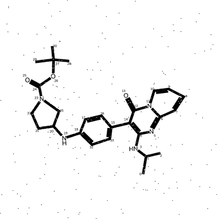 CC(C)Nc1nc2ccccn2c(=O)c1-c1ccc(NC2CCN(C(=O)OC(C)(C)C)C2)cc1